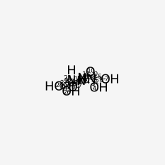 CC(CCO)(CCO)NC(=O)C(C)(C)N=NC(C)(C)C(=O)NC(C)(CCO)CCO